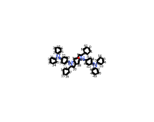 c1ccc(-c2cc3cc4c(cc(-c5ccccc5)n4-c4ccc(N(c5ccccc5)c5ccccc5)cc4)cc3n2-c2ccc(N(c3ccccc3)c3ccccc3)cc2)cc1